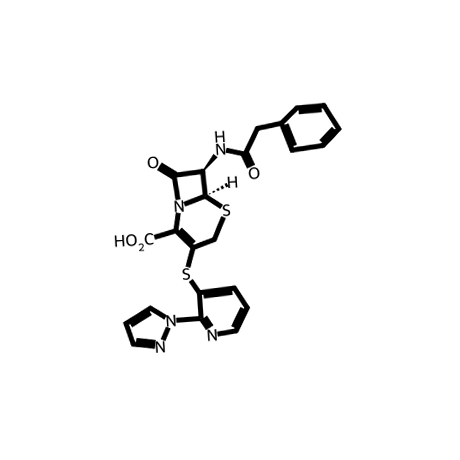 O=C(Cc1ccccc1)N[C@@H]1C(=O)N2C(C(=O)O)=C(Sc3cccnc3-n3cccn3)CS[C@H]12